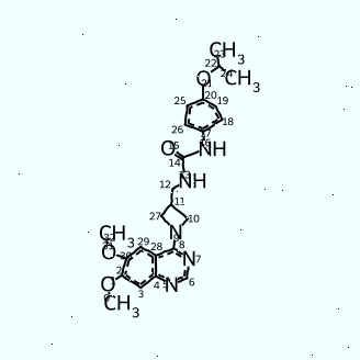 COc1cc2ncnc(N3CC(CNC(=O)Nc4ccc(OC(C)C)cc4)C3)c2cc1OC